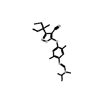 CCC(C)(CC)c1nsc(Oc2cc(C)c(N=CN(C)C(C)C)cc2C)c1C#N